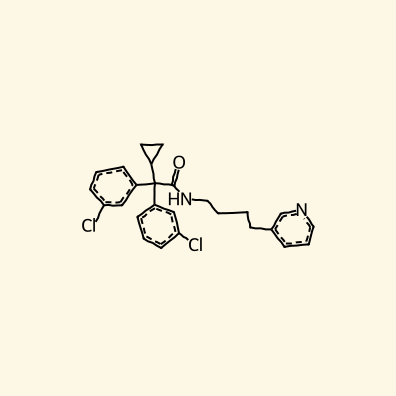 O=C(NCCCCc1cccnc1)C(c1cccc(Cl)c1)(c1cccc(Cl)c1)C1CC1